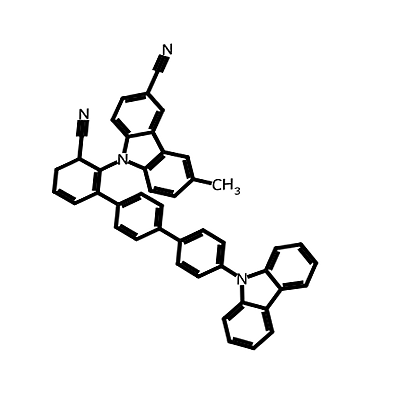 Cc1ccc2c(c1)c1cc(C#N)ccc1n2C1=C(c2ccc(-c3ccc(-n4c5ccccc5c5ccccc54)cc3)cc2)C=CCC1C#N